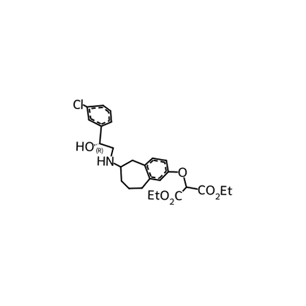 CCOC(=O)C(Oc1ccc2c(c1)CCCC(NC[C@H](O)c1cccc(Cl)c1)C2)C(=O)OCC